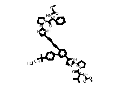 COC(=O)N[C@H](C(=O)N1CCC[C@H]1c1ncc(-c2ccc(C#CC#Cc3cnc([C@@H]4CCCN4C(=O)[C@H](NC(=O)OC)c4ccccc4)[nH]3)c(-c3ccc(C(C)(C)C)cc3)c2)[nH]1)C(C)C.Cl.Cl